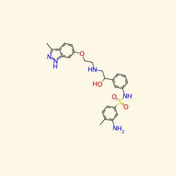 Cc1ccc(S(=O)(=O)Nc2cccc(C(O)CNCCOc3ccc4c(C)n[nH]c4c3)c2)cc1N